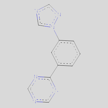 c1cc(-c2ncncn2)cc(-n2cncn2)c1